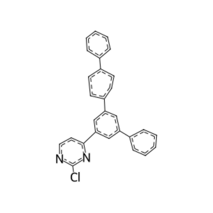 Clc1nccc(-c2cc(-c3ccccc3)cc(-c3ccc(-c4ccccc4)cc3)c2)n1